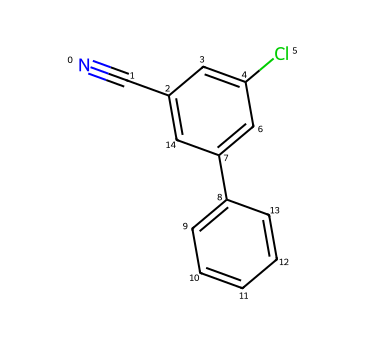 N#Cc1cc(Cl)cc(-c2ccccc2)c1